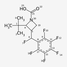 CC(C)(C)C1C(C(F)c2c(F)c(F)c(F)c(F)c2F)CN1C(=O)O